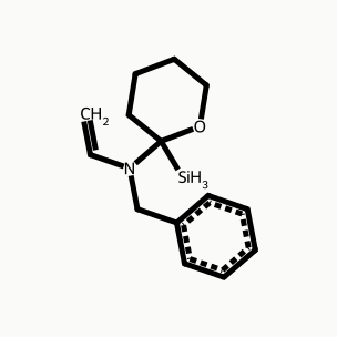 C=CN(Cc1ccccc1)C1([SiH3])CCCCO1